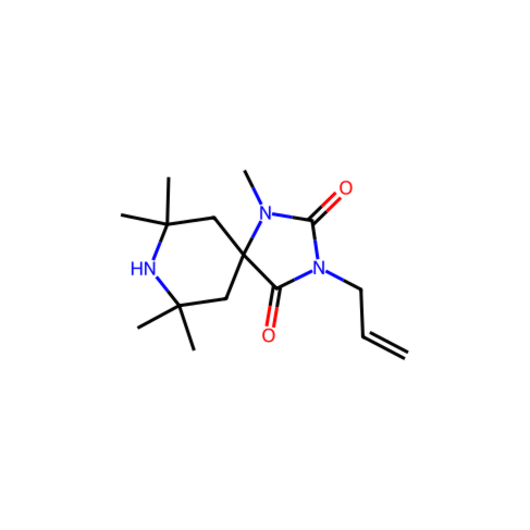 C=CCN1C(=O)N(C)C2(CC(C)(C)NC(C)(C)C2)C1=O